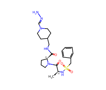 C[C@H](NS(=O)(=O)Cc1ccccc1)C(=O)N1CCC[C@H]1C(=O)NCC1CCN(C=NN)CC1